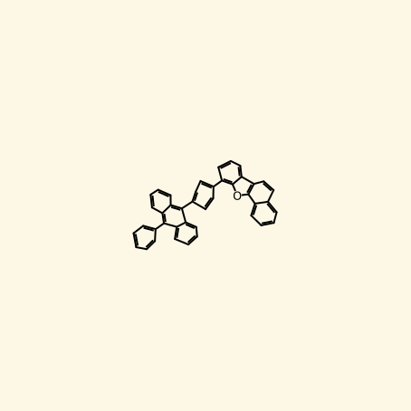 c1ccc(-c2c3ccccc3c(-c3ccc(-c4cccc5c4oc4c6ccccc6ccc54)cc3)c3ccccc23)cc1